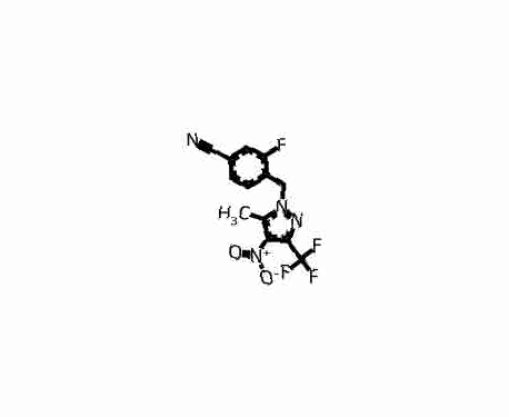 Cc1c([N+](=O)[O-])c(C(F)(F)F)nn1Cc1ccc(C#N)cc1F